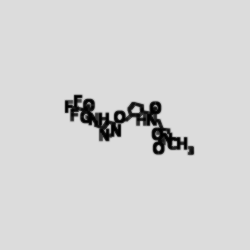 CN1CC(CNC(=O)c2cccc(COc3cc(CNOC(=O)C(F)(F)F)ncn3)c2)OC1=O